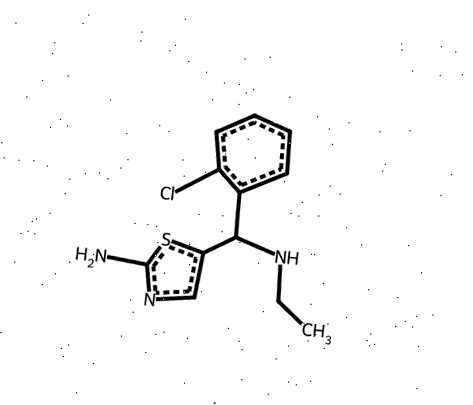 CCNC(c1cnc(N)s1)c1ccccc1Cl